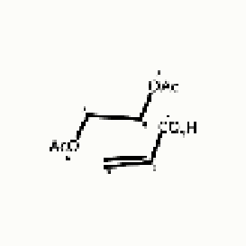 C=CC(=O)O.CC(=O)OCCOC(C)=O